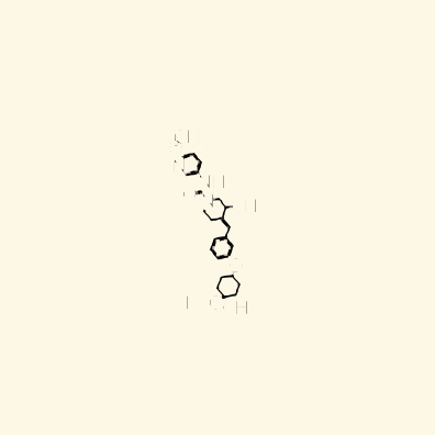 COc1ccc(NC(=O)N2CCC(=Cc3cccc(OC4CCC(C)(C)CC4)c3)C(C)C2)cn1